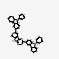 c1ccc(-n2c3ccccc3c3cc(-c4cc5c(cn4)sc4nnc(-c6ccc7c(c6)c6ccccc6n7-c6ccccc6)nc45)ccc32)cc1